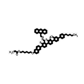 C=CC(=O)OCCCCCCOc1ccc2cc(-c3ccc(-c4ccc(-c5ccc(-c6ccc(CCCCC)cc6)cc5Cl)c(F)c4F)c(/C=N/N=C/c4c5ccccc5cc5ccccc45)c3F)ccc2c1